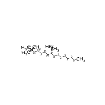 Br.CCCCCCCCCCCCCC[N+](C)(C)C.P